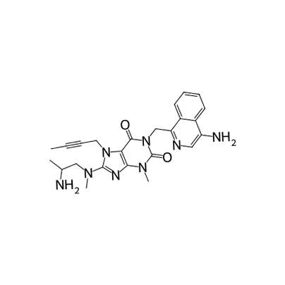 CC#CCn1c(N(C)CC(C)N)nc2c1c(=O)n(Cc1ncc(N)c3ccccc13)c(=O)n2C